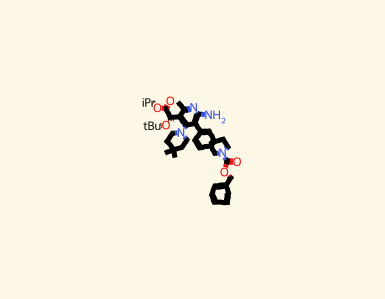 Cc1nc(N)c(-c2ccc3c(c2)CCN(C(=O)OCc2ccccc2)C3)c(N2CCC(C)(C)CC2)c1[C@H](OC(C)(C)C)C(=O)OC(C)C